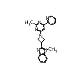 Cc1nc(-c2ccccn2)cc(N2CC(c3nc4ccccc4n3C)C2)n1